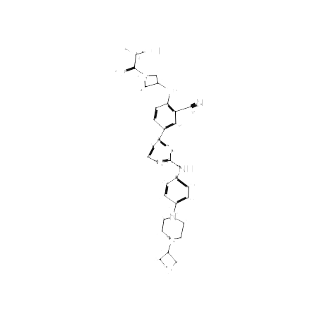 C[C@@H](O)C(=O)N1CC(Oc2ccc(-c3ccnc(Nc4ccc(N5CCN(C6COC6)CC5)cc4)n3)cc2C#N)C1